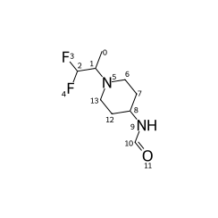 CC(C(F)F)N1CCC(NC=O)CC1